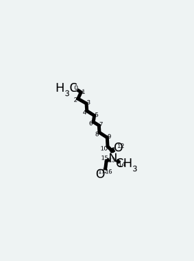 CCCCCCCCCCCC(=O)N(C)C[C]=O